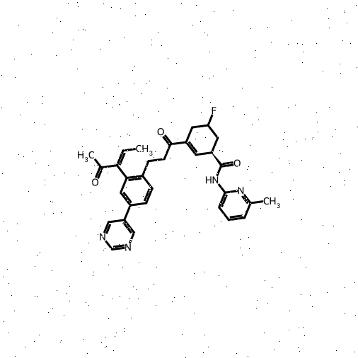 C/C=C(/C(C)=O)c1cc(-c2cncnc2)ccc1CCC(=O)C1=C[C@H](C(=O)Nc2cccc(C)n2)CC(F)C1